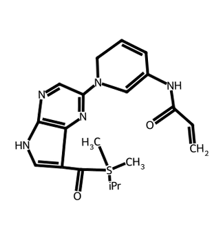 C=CC(=O)NC1=CN(c2cnc3[nH]cc(C(=O)S(C)(C)C(C)C)c3n2)CC=C1